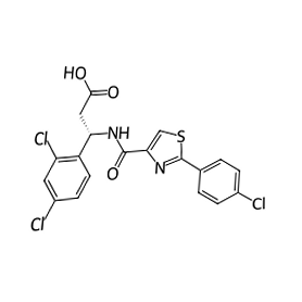 O=C(O)C[C@H](NC(=O)c1csc(-c2ccc(Cl)cc2)n1)c1ccc(Cl)cc1Cl